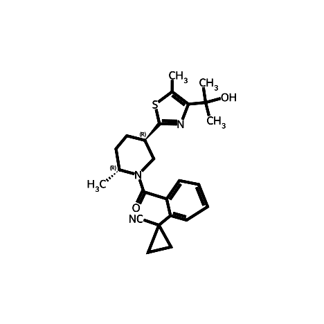 Cc1sc([C@@H]2CC[C@@H](C)N(C(=O)c3ccccc3C3(C#N)CC3)C2)nc1C(C)(C)O